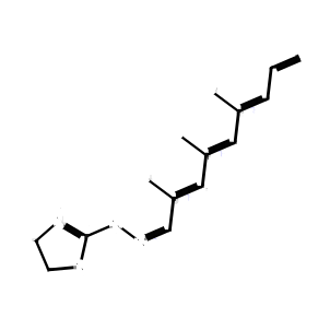 C=C/C=C(C)/C=C(C)/C=C(C)/C=N\NC1=NCCN1